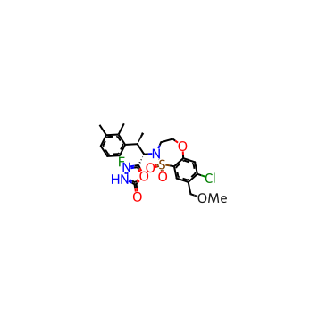 COCc1cc2c(cc1Cl)OCCN([C@H](c1n[nH]c(=O)o1)[C@H](C)c1c(F)ccc(C)c1C)S2(=O)=O